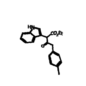 CCOC(=O)C(C(=O)Cc1ccc(C)cc1)c1c[nH]c2ccccc12